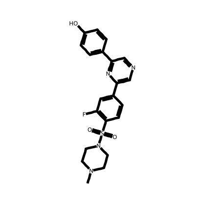 CN1CCN(S(=O)(=O)c2ccc(-c3cncc(-c4ccc(O)cc4)n3)cc2F)CC1